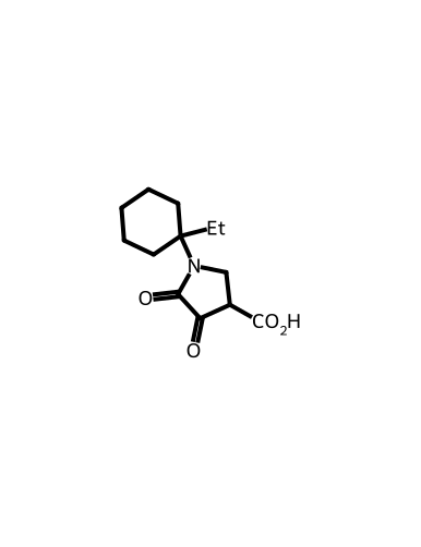 CCC1(N2CC(C(=O)O)C(=O)C2=O)CCCCC1